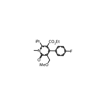 CCOC(=O)c1c(-c2ccc(F)cc2)c(COC)c(=O)n(C)c1C(C)C